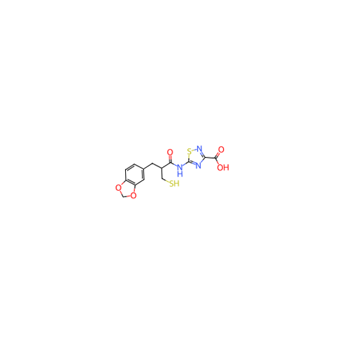 O=C(O)c1nsc(NC(=O)C(CS)Cc2ccc3c(c2)OCO3)n1